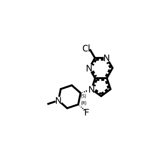 CN1CC[C@H](n2ccc3cnc(Cl)nc32)[C@H](F)C1